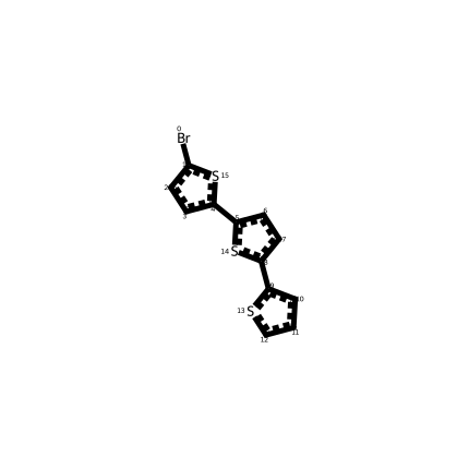 Brc1ccc(-c2ccc(-c3cccs3)s2)s1